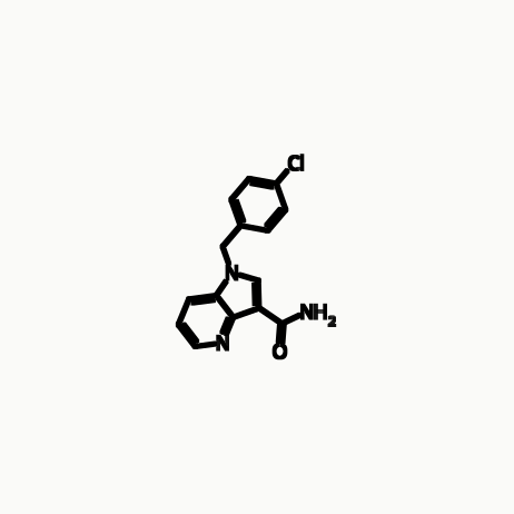 NC(=O)c1cn(Cc2ccc(Cl)cc2)c2cccnc12